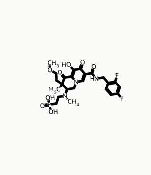 COCCC1(C)C(=O)c2c(O)c(=O)c(C(=O)NCc3ccc(F)cc3F)cn2CC1N(C)CCP(=O)(O)O